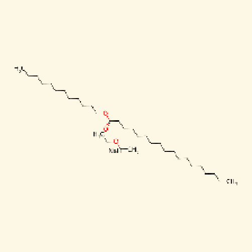 CCCCCCCCCCCCCCCCCC(=O)OCCCCCCCCCCCC.CCOCC.[NaH]